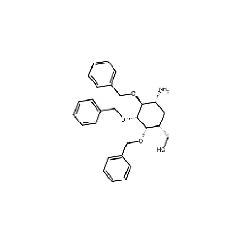 N[C@@H]1C[C@H](CO)[C@H](OCc2ccccc2)[C@H](OCc2ccccc2)[C@H]1OCc1ccccc1